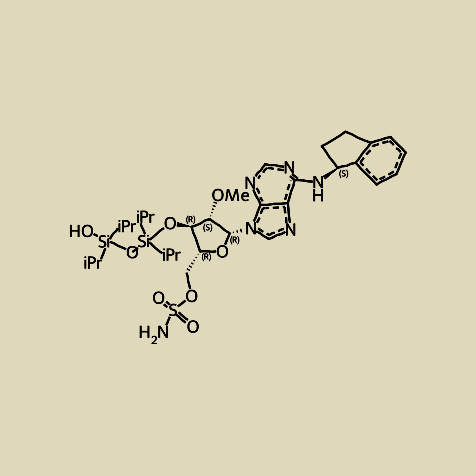 CO[C@H]1[C@H](O[Si](O[Si](O)(C(C)C)C(C)C)(C(C)C)C(C)C)[C@@H](COS(N)(=O)=O)O[C@H]1n1cnc2c(N[C@H]3CCc4ccccc43)ncnc21